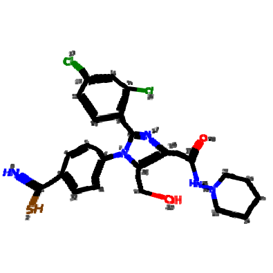 N=C(S)c1ccc(-n2c(-c3ccc(Cl)cc3Cl)nc(C(=O)NN3CCCCC3)c2CO)cc1